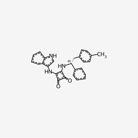 Cc1ccc(C[C@@H](Nc2c(Nc3c[nH]c4ccccc34)c(=O)c2=O)c2ccccc2)cc1